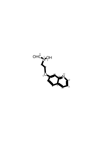 O=CN(O)CCOc1ccc2cccnc2c1